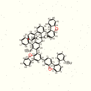 CC(C)(C)c1ccccc1-c1cccc2oc3cc(-c4cc(-c5cc(CC(C)(C)c6c(-c7ccccc7)cccc6-c6cccc7oc8ccccc8c67)cc(-c6ccccc6)c5C(C)(C)C)c5oc6ccccc6c5c4)ccc3c12